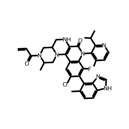 C=CC(=O)N1CC2CNc3c(c4cc(Cl)c(-c5c(C)ccc6[nH]cnc56)c(F)c4n(-c4c(C)ccnc4C(C)C)c3=O)N2CC1C